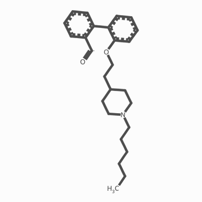 CCCCCCN1CCC(CCOc2ccccc2-c2ccccc2[C]=O)CC1